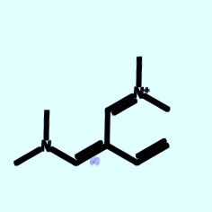 C=C/C(C=[N+](C)C)=C/N(C)C